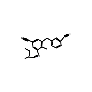 CCN(C)/C=N\c1cc(C#N)cc(Cc2cccc(C#N)c2)c1C